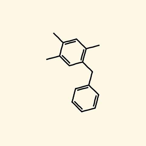 Cc1cc(C)c(Cc2ccccc2)cc1C